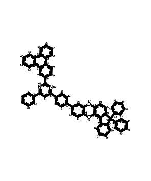 c1ccc(-c2cc(-c3ccc(-c4ccc5c(c4)Oc4ccc6c(c4O5)-c4ccccc4C6(c4ccccc4)c4ccccc4)cc3)nc(-c3ccc4c5ccccc5c5ccccc5c4c3)n2)cc1